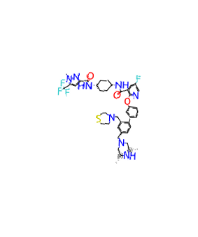 C[C@@H]1CN(Cc2ccc(-c3cccc(Oc4ncc(F)cc4C(=O)N[C@H]4CC[C@@H](NC(=O)c5cc(C(F)(F)F)n(C)n5)CC4)c3)c(CN3CCSCC3)c2)C[C@H](C)N1